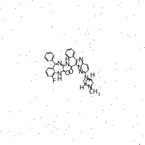 CN1C[C@H]2C[C@@H]1CN2c1ccc2nc(-c3ccccc3)c(C(=O)N[C@H]3N=C(c4ccccc4)c4cccc(F)c4NC3=O)n2n1